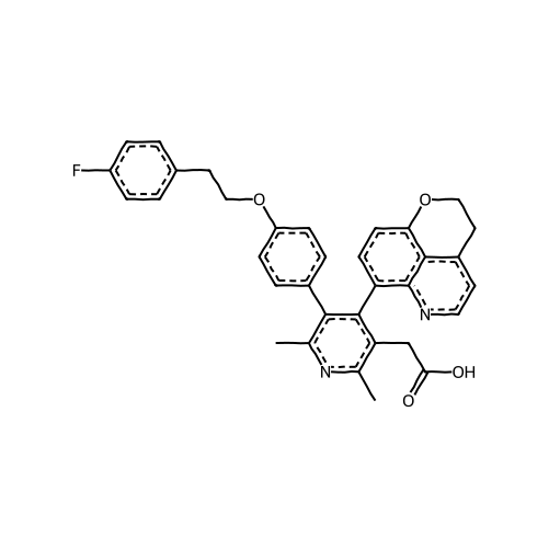 Cc1nc(C)c(-c2ccc(OCCc3ccc(F)cc3)cc2)c(-c2ccc3c4c(ccnc24)CCO3)c1CC(=O)O